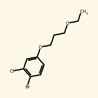 CCOCCCOc1ccc(Br)c(Cl)c1